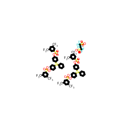 O=S(=O)(Oc1ccc([S+](c2ccccc2)c2ccc(OS(=O)(=O)c3cc(C(F)(F)F)cc(C(F)(F)F)c3)cc2)cc1)c1cc(C(F)(F)F)cc(C(F)(F)F)c1.O=S(=O)(Oc1ccc([S+](c2ccccc2)c2ccc(OS(=O)(=O)c3cc(C(F)(F)F)cc(C(F)(F)F)c3)cc2)cc1)c1cc(C(F)(F)F)cc(C(F)(F)F)c1.O=S(=O)([O-])C(F)(F)C(F)(F)C(F)(F)S(=O)(=O)[O-]